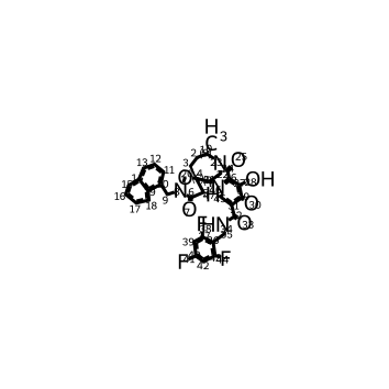 C[C@H]1CC[C@]2(CC(=O)N(Cc3cccc4ccccc34)O2)[C@H]2CN1C(=O)c1c(O)c(=O)c(C(=O)NCc3c(F)cc(F)cc3F)cn12